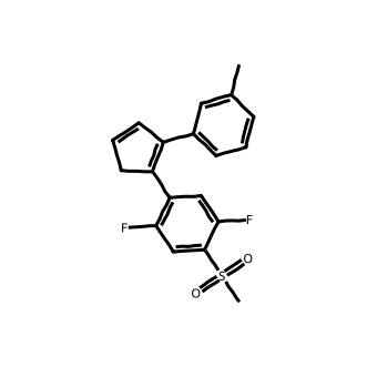 Cc1cccc(C2=C(c3cc(F)c(S(C)(=O)=O)cc3F)CC=C2)c1